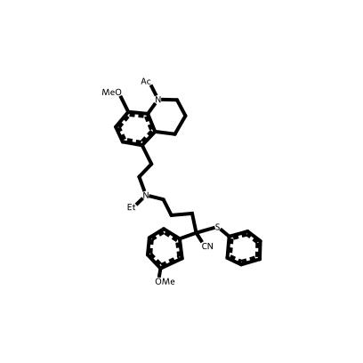 CCN(CCCC(C#N)(Sc1ccccc1)c1cccc(OC)c1)CCc1ccc(OC)c2c1CCCN2C(C)=O